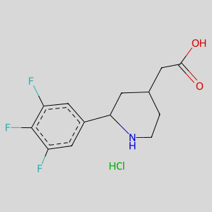 Cl.O=C(O)CC1CCNC(c2cc(F)c(F)c(F)c2)C1